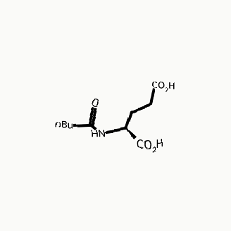 CCCCC(=O)N[C@@H](CCC(=O)O)C(=O)O